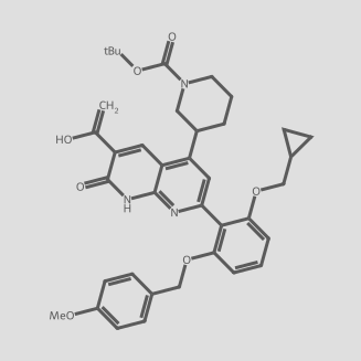 C=C(O)c1cc2c(C3CCCN(C(=O)OC(C)(C)C)C3)cc(-c3c(OCc4ccc(OC)cc4)cccc3OCC3CC3)nc2[nH]c1=O